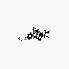 CN(C(=O)C1CC1)c1ccc(C[C@H](NC(=O)OC(C)(C)C)C(=O)Nc2ccc(C(=O)O)cc2)cc1